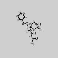 COC(=O)CNC(=O)C1(COCc2ccccc2)CCNC(=O)C1